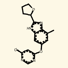 Cc1cc(Oc2cc(Cl)ncn2)cc2[nH]c(C3CCCO3)nc12